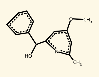 COc1cc(C)nc(C(O)c2ccccc2)c1